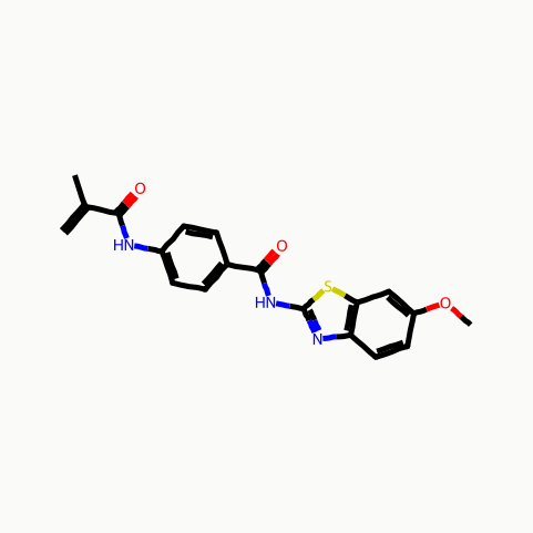 C=C(C)C(=O)Nc1ccc(C(=O)Nc2nc3ccc(OC)cc3s2)cc1